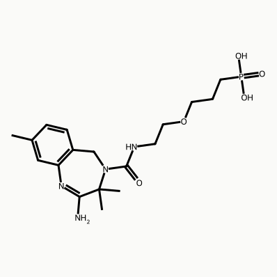 Cc1ccc2c(c1)N=C(N)C(C)(C)N(C(=O)NCCOCCCP(=O)(O)O)C2